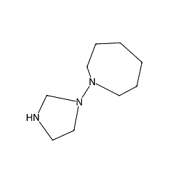 C1CCCN(N2CCNC2)CC1